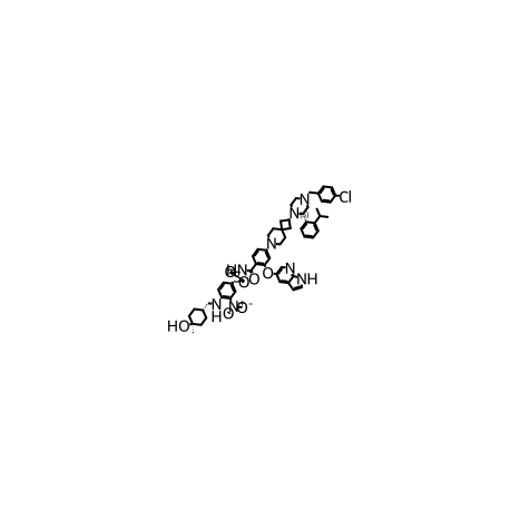 CC(C)c1ccccc1[C@H]1CN(Cc2ccc(Cl)cc2)CCN1C1CC2(CCN(c3ccc(C(=O)NS(=O)(=O)c4ccc(NC[C@H]5CC[C@](C)(O)CC5)c([N+](=O)[O-])c4)c(Oc4cnc5[nH]ccc5c4)c3)CC2)C1